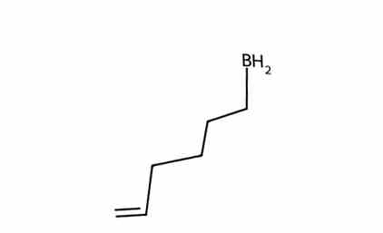 BCCCCC=C